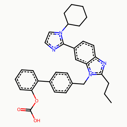 CCCc1nc2ccc(-c3nccn3C3CCCCC3)cc2n1Cc1ccc(-c2ccccc2OC(=O)O)cc1